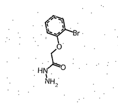 NNC(=O)COc1ccccc1Br